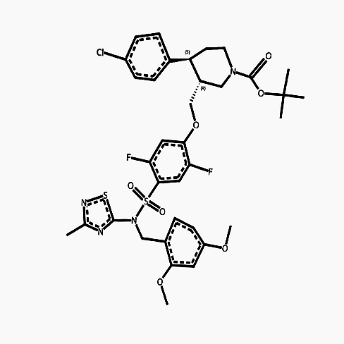 COc1ccc(CN(c2nc(C)ns2)S(=O)(=O)c2cc(F)c(OC[C@H]3CN(C(=O)OC(C)(C)C)CC[C@@H]3c3ccc(Cl)cc3)cc2F)c(OC)c1